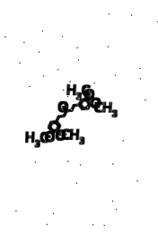 COc1ccc(CCC(=O)CCc2ccc(OC)c(OC)c2)cc1OC